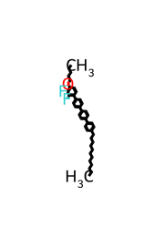 CCCCCCCCCCCCc1ccc(-c2ccc(-c3ccc(-c4ccc(OCCCCC)c(F)c4F)cc3)cc2)cc1